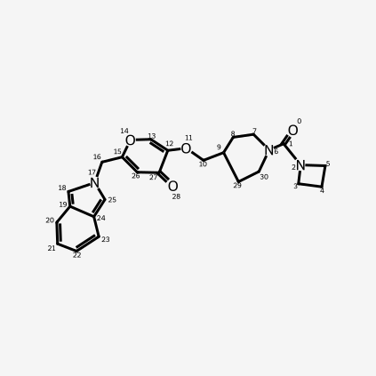 O=C(N1CCC1)N1CCC(COc2coc(Cn3cc4ccccc4c3)cc2=O)CC1